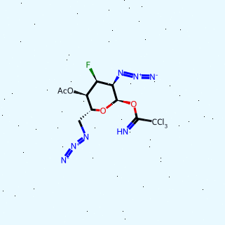 CC(=O)O[C@H]1[C@@H](F)[C@@H](N=[N+]=[N-])[C@@H](OC(=N)C(Cl)(Cl)Cl)O[C@@H]1CN=[N+]=[N-]